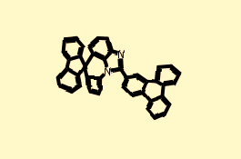 c1ccc2c(c1)-c1ccccc1C21c2ccccc2-n2c(-c3ccc4c5ccccc5c5ccccc5c4c3)nc3cccc1c32